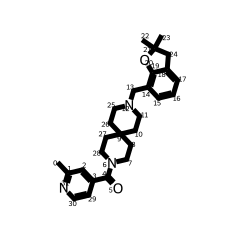 Cc1cc(C(=O)N2CCC3(CCN(Cc4cccc5c4OC(C)(C)C5)CC3)CC2)ccn1